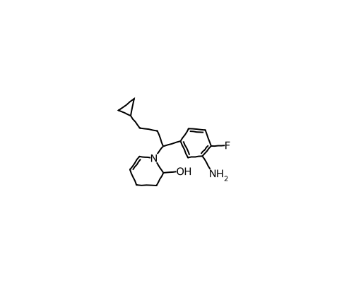 Nc1cc(C(CCC2CC2)N2C=CCCC2O)ccc1F